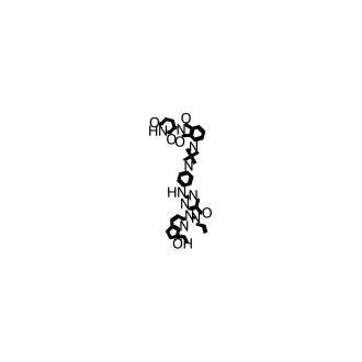 C=CCn1c(=O)c2cnc(Nc3ccc(N4CC5(C4)CN(c4cccc6c4C(=O)N(C4CCC(=O)NC4=O)C6=O)C5)cc3)nc2n1-c1ccc2c(n1)[C@@](O)(CC)CC2